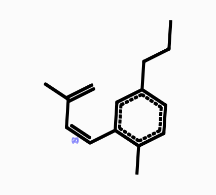 C=C(C)/C=C\c1cc(CCC)ccc1C